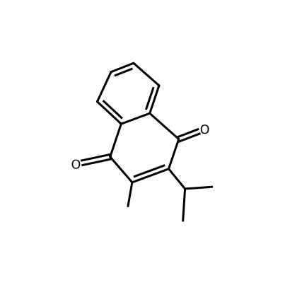 CC1=C(C(C)C)C(=O)c2ccccc2C1=O